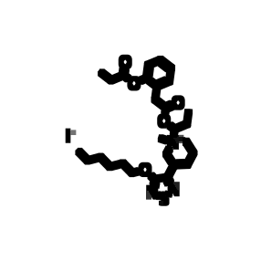 CCCCCCOc1nsnc1C1=CCC[N+](C)(C(CC)OC(=O)Cc2ccccc2OC(=O)CC)C1.[I-]